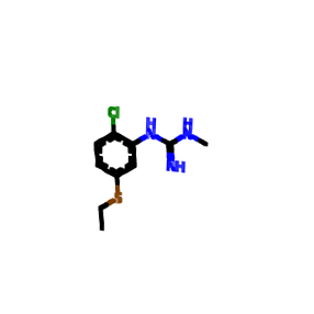 CCSc1ccc(Cl)c(NC(=N)NC)c1